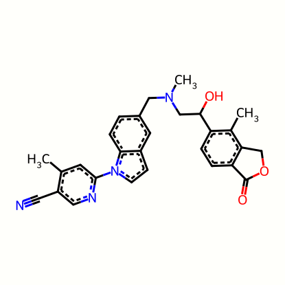 Cc1cc(-n2ccc3cc(CN(C)CC(O)c4ccc5c(c4C)COC5=O)ccc32)ncc1C#N